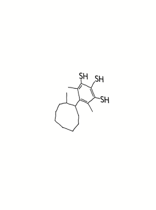 Cc1c(S)c(S)c(S)c(C)c1C1CCCCCCCC1C